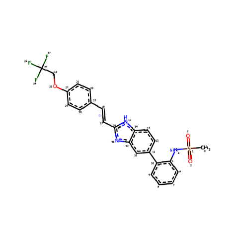 CS(=O)(=O)Nc1ccccc1-c1ccc2[nH]c(/C=C/c3ccc(OCC(F)(F)F)cc3)nc2c1